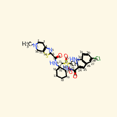 CN1CCc2nc(C(=O)N[C@]3(CS(C)(=O)=O)CCCC[C@@H]3NC(=O)c3cc4cc(Cl)ccc4[nH]3)sc2C1